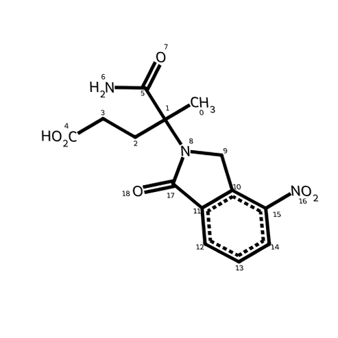 CC(CCC(=O)O)(C(N)=O)N1Cc2c(cccc2[N+](=O)[O-])C1=O